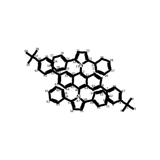 CC(C)(C)c1ccc(-c2ccc3c(-n4c(C5=CCCC=C5)ccc4C4C=CC=CC4)c4cc(-c5ccc(C(C)(C)C)cc5)ccc4c(-n4c(-c5ccccc5)ccc4-c4ccccc4)c3c2)cc1